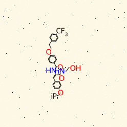 CC(C)Oc1ccc(/C=C(/NC(=O)c2ccc(OCCc3ccc(C(F)(F)F)cc3)cc2)C(=O)NCCO)cc1